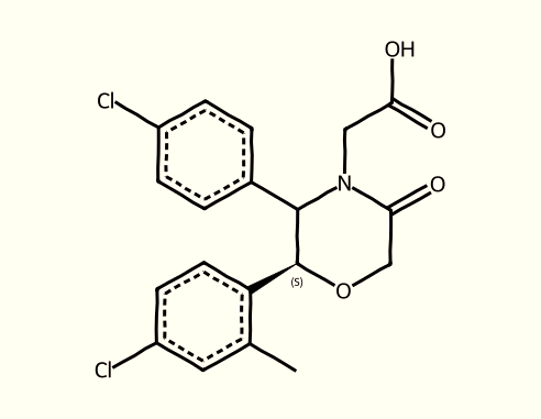 Cc1cc(Cl)ccc1[C@@H]1OCC(=O)N(CC(=O)O)C1c1ccc(Cl)cc1